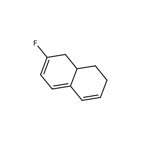 FC1=CC=C2C=CCCC2C1